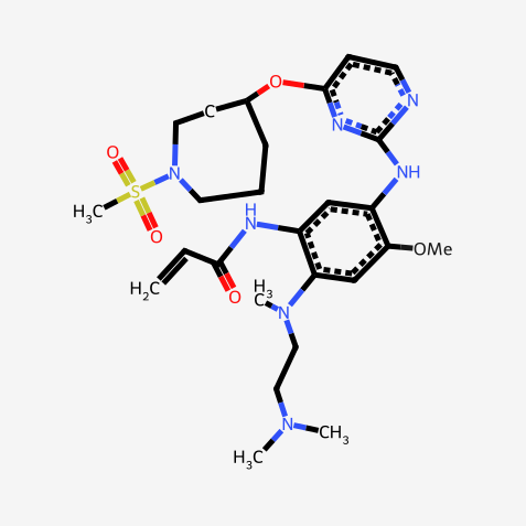 C=CC(=O)Nc1cc(Nc2nccc(OC3CCCN(S(C)(=O)=O)CC3)n2)c(OC)cc1N(C)CCN(C)C